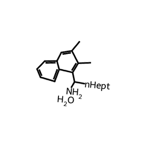 CCCCCCCC(N)c1c(C)c(C)cc2ccccc12.O